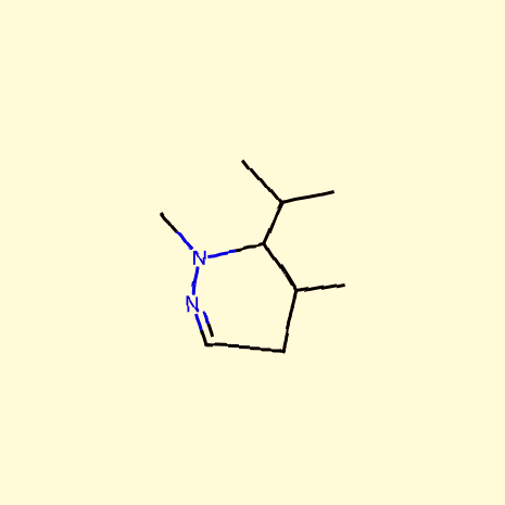 CC(C)C1C(C)CC=NN1C